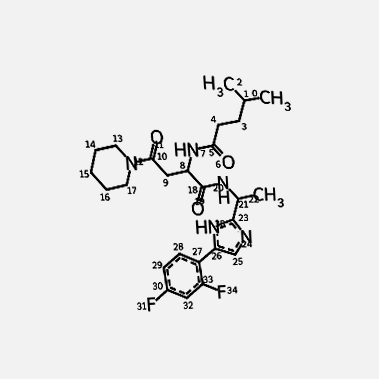 CC(C)CCC(=O)NC(CC(=O)N1CCCCC1)C(=O)NC(C)c1ncc(-c2ccc(F)cc2F)[nH]1